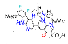 CNc1cc(F)c(F)c2c1[nH]c1ncc(-c3cnc4c(c3)c(=O)c(C(=O)O)cn4NC)c(N3CC[C@H]4CN(C)CC43)c12